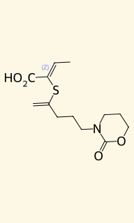 C=C(CCCN1CCCOC1=O)S/C(=C\C)C(=O)O